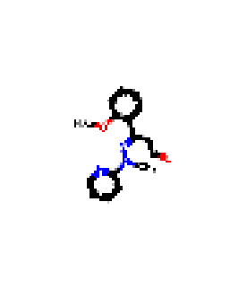 COc1ccccc1/C(CC=O)=N/N(C)c1ccccn1